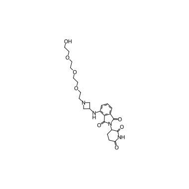 O=C1CCC(N2C(=O)c3cccc(NC4CN(CCOCCOCCOCCO)C4)c3C2=O)C(=O)N1